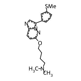 CSc1cccc(-c2cnc3ccc(OCCCCN(C)C)nn23)c1